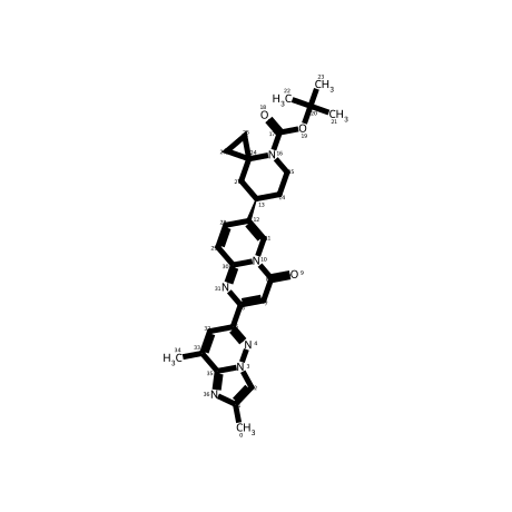 Cc1cn2nc(-c3cc(=O)n4cc([C@@H]5CCN(C(=O)OC(C)(C)C)C6(CC6)C5)ccc4n3)cc(C)c2n1